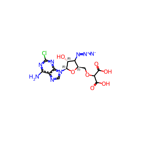 [N-]=[N+]=NC1[C@@H](O)[C@H](n2cnc3c(N)nc(Cl)nc32)O[C@@H]1COC(C(=O)O)C(=O)O